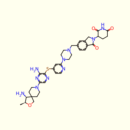 C[C@@H]1OCC2(CCN(c3cnc(Sc4ccnc(N5CCN(Cc6ccc7c(c6)CN(C6CCC(=O)NC6=O)C7=O)CC5)c4)c(N)n3)CC2)[C@@H]1N